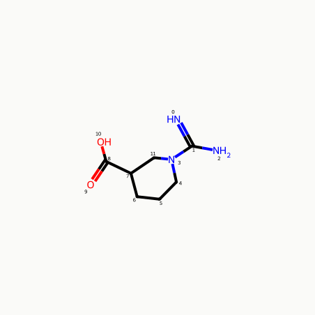 N=C(N)N1CCCC(C(=O)O)C1